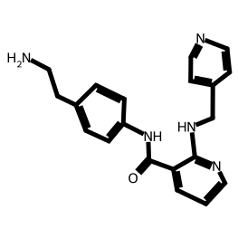 NCCc1ccc(NC(=O)c2cccnc2NCc2ccncc2)cc1